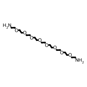 NCCOCCOCCOCCOCCOCCOCCOCCOCCN